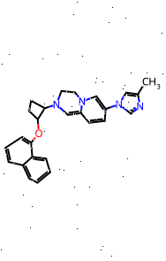 Cc1cn(C2=CN3CCN(C4CCC4Oc4cccc5ccccc45)C=C3C=C2)cn1